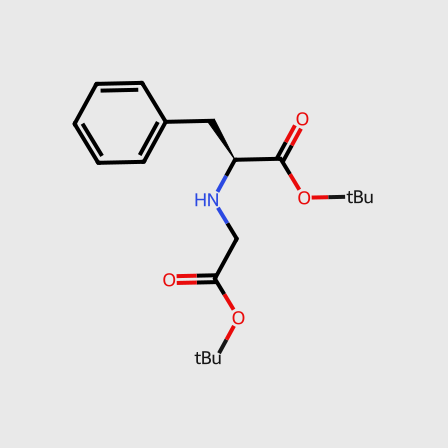 CC(C)(C)OC(=O)CN[C@@H](Cc1ccccc1)C(=O)OC(C)(C)C